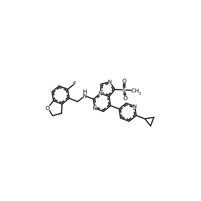 CS(=O)(=O)c1ncn2c(NCc3c(F)ccc4c3CCO4)ncc(-c3ccc(C4CC4)nc3)c12